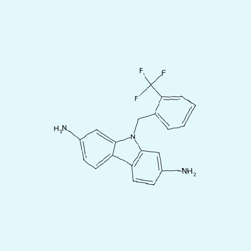 Nc1ccc2c3ccc(N)cc3n(Cc3ccccc3C(F)(F)F)c2c1